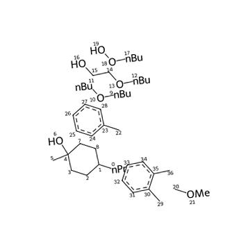 CCCC1CCC(C)(O)CC1.CCCCOCCCC.CCCCOCCO.CCCCOO.COC.Cc1ccccc1.Cc1ccccc1C